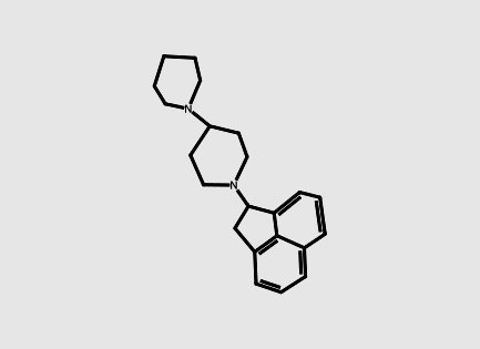 c1cc2c3c(cccc3c1)[C](N1CCC(N3CCCCC3)CC1)C2